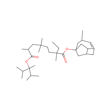 CCC(C)(CCC(C)(C)CC(C)C(=O)OC(C)(C(C)C)C(C)C)C(=O)OC12CC(C)C=C3CC(C1)C3C2